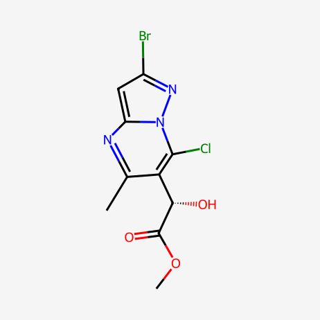 COC(=O)[C@@H](O)c1c(C)nc2cc(Br)nn2c1Cl